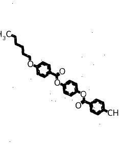 CCCCCCOc1ccc(C(=O)Oc2ccc(OC(=O)c3ccc(C)cc3)cc2)cc1